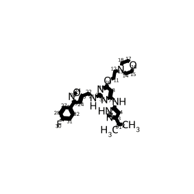 CC(C)c1cc(Nc2cc(OCCN3CCOCC3)nc(NCc3cc(-c4ccc(F)cc4)no3)n2)[nH]n1